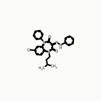 CC(C)CCn1c(=O)c(=NNc2ccccc2)c(=O)n(-c2ccccc2)c2cc(Cl)ccc21